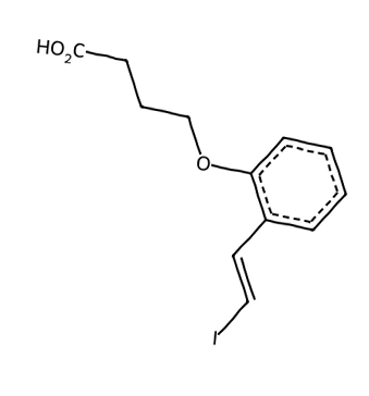 O=C(O)CCCOc1ccccc1C=CI